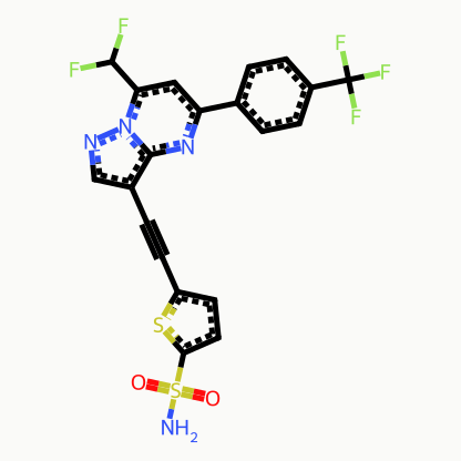 NS(=O)(=O)c1ccc(C#Cc2cnn3c(C(F)F)cc(-c4ccc(C(F)(F)F)cc4)nc23)s1